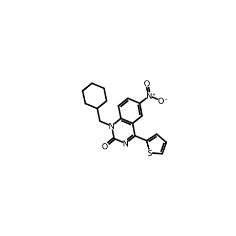 O=c1nc(-c2cccs2)c2cc([N+](=O)[O-])ccc2n1CC1CCCCC1